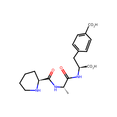 C[C@H](NC(=O)[C@@H]1CCCCN1)C(=O)N[C@@H](Cc1ccc(C(=O)O)cc1)C(=O)O